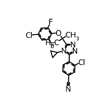 CC(C)(Oc1c(F)cc(Cl)cc1F)c1nnc(-c2ccc(C#N)cc2Cl)n1C1CC1